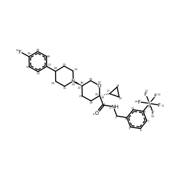 O=C(NCc1cccc(S(F)(F)(F)(F)F)c1)[C@@]1(C2CC2)CC[C@@H](N2CCC(c3ccc(F)cc3)CC2)CO1